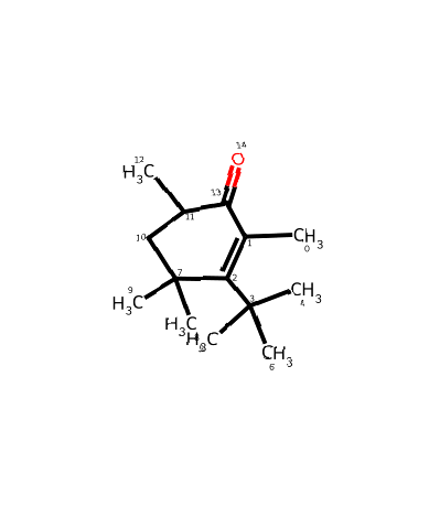 CC1=C(C(C)(C)C)C(C)(C)CC(C)C1=O